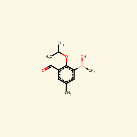 CB(O)c1cc(C)cc(C=O)c1OC(C)C